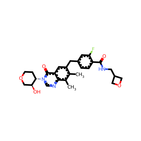 Cc1c(Cc2ccc(C(=O)NCC3COC3)c(F)c2)cc2c(=O)n([C@H]3CCOC[C@@H]3O)cnc2c1C